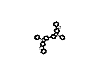 c1ccc(-n2c3ccc(-c4ccc5c(c4)c4cc6c(cc4n5-c4ccccc4)oc4ccccc46)cc3c3cc4c(cc32)oc2ccccc24)cc1